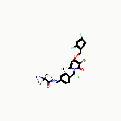 Cc1cc(OCc2ccc(F)cc2F)c(Br)c(=O)n1Cc1ccc(CNC(=O)C(C)(C)N)cc1.Cl